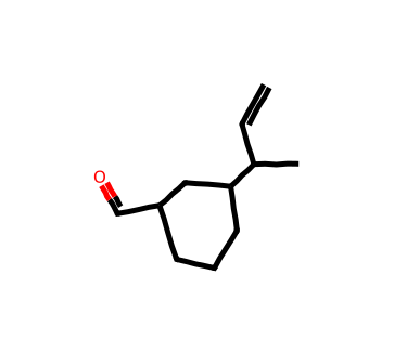 C=CC(C)C1CCCC(C=O)C1